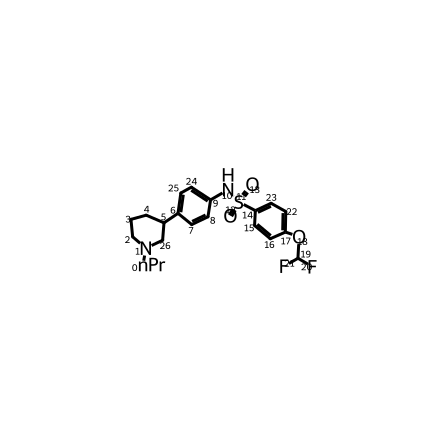 CCCN1CCCC(c2ccc(NS(=O)(=O)c3ccc(OC(F)F)cc3)cc2)C1